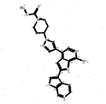 CC(C)(C)OC(=O)N1CCC(n2cc(-c3cnc(N)c4oc(-c5csc6cnccc56)cc34)cn2)CC1